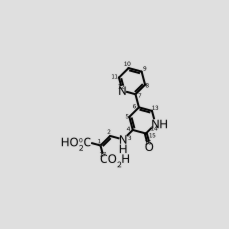 O=C(O)C(=CNc1cc(-c2ccccn2)c[nH]c1=O)C(=O)O